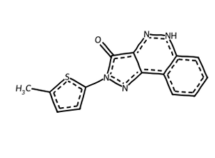 Cc1ccc(-n2nc3c4ccccc4[nH]nc-3c2=O)s1